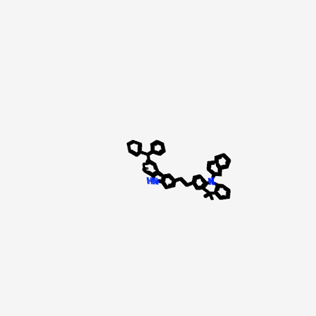 CC1(C)c2ccccc2N(c2ccc3ccccc3c2)c2ccc(/C=C/c3ccc4[nH]c5ccc(C(C6=CCCC=C6)c6ccccc6)cc5c4c3)cc21